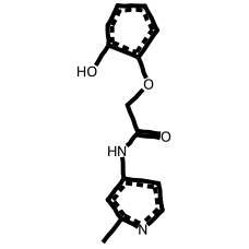 Cc1cc(NC(=O)COc2ccccc2O)ccn1